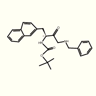 CC(C)(C)OC(=O)N[C@@H](Cc1ccc2ccccc2c1)C(=O)CNCc1ccccc1